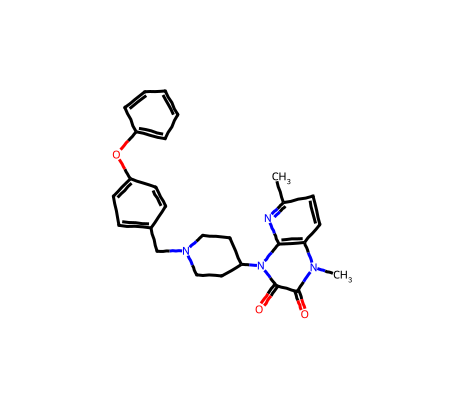 Cc1ccc2c(n1)n(C1CCN(Cc3ccc(Oc4ccccc4)cc3)CC1)c(=O)c(=O)n2C